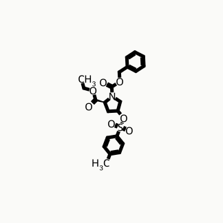 CCOC(=O)[C@@H]1CC(OS(=O)(=O)c2ccc(C)cc2)CN1C(=O)OCc1ccccc1